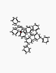 c1ccc(-c2cc(-c3ccccc3)c3c(c2)c2cc(-c4ccccc4)cc(-c4ccccc4)c2n3-c2cccc(-c3nc(-c4ccccc4)c4ccccc4n3)c2)cc1